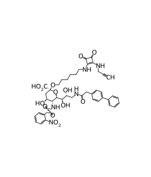 C#CCNc1c(NCCCCCCO[C@]2(C(=O)O)C[C@H](O)[C@@H](NS(=O)(=O)c3ccccc3[N+](=O)[O-])[C@H]([C@H](O)[C@H](O)CNC(=O)Cc3ccc(-c4ccccc4)cc3)O2)c(=O)c1=O